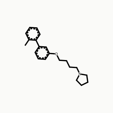 Cc1ccccc1-c1cccc(OCCCCN2CCCC2)c1